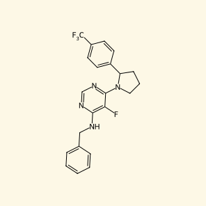 Fc1c(NCc2ccccc2)ncnc1N1CCCC1c1ccc(C(F)(F)F)cc1